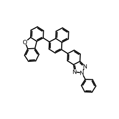 c1ccc(-n2nc3ccc(-c4ccc(-c5cccc6oc7ccccc7c56)c5ccccc45)cc3n2)cc1